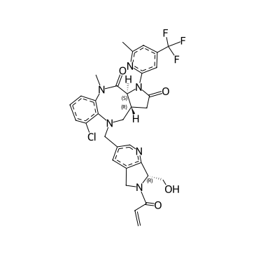 C=CC(=O)N1Cc2cc(CN3C[C@H]4CC(=O)N(c5cc(C(F)(F)F)cc(C)n5)[C@@H]4C(=O)N(C)c4cccc(Cl)c43)cnc2[C@@H]1CO